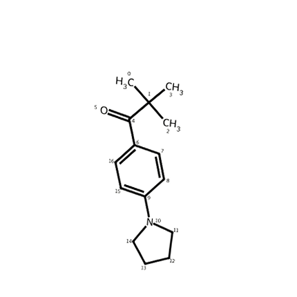 CC(C)(C)C(=O)c1ccc(N2CCCC2)cc1